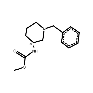 COC(=O)N[C@@H]1CCCN(Cc2ccccc2)C1